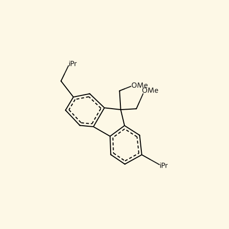 COCC1(COC)c2cc(CC(C)C)ccc2-c2ccc(C(C)C)cc21